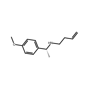 C=CCCN[C@H](C)c1ccc(OC)cc1